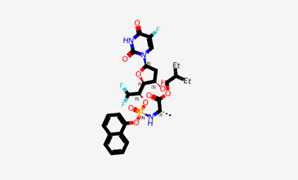 CCC(CC)COC(=O)[C@H](C)N[P@](=O)(Oc1cccc2ccccc12)O[C@H](C(F)F)[C@H]1O[C@@H](n2cc(F)c(=O)[nH]c2=O)C[C@@H]1O